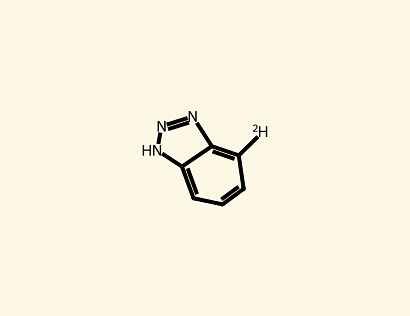 [2H]c1cccc2[nH]nnc12